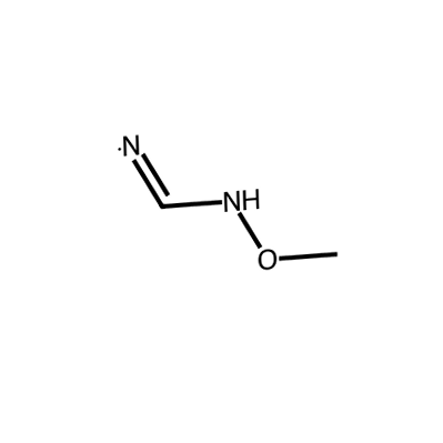 CONC=[N]